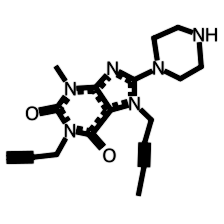 C#CCn1c(=O)c2c(nc(N3CCNCC3)n2CC#CC)n(C)c1=O